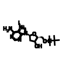 CC(C)(C)[Si](C)(C)OC[C@H]1O[C@@H](n2c[n+](I)c3c(N)ncnc32)C[C@@H]1O